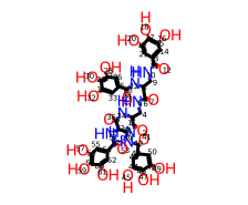 NC(=O)C(CNC(=O)C(CNC(=O)c1cc(O)c(O)c(O)c1)NC(=O)c1cc(O)c(O)c(O)c1)NC(=O)C(CNC(=O)c1cc(O)c(O)c(O)c1)NC(=O)c1cc(O)c(O)c(O)c1